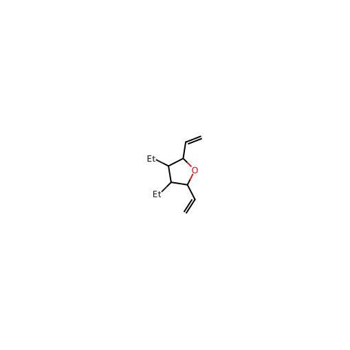 C=CC1OC(C=C)C(CC)C1CC